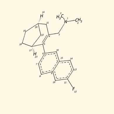 CN(C)CC1=C(c2ccc3cc(F)ccc3c2)[C@H]2CC[C@@H](C1)C2